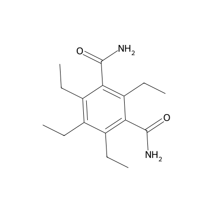 CCc1c(CC)c(C(N)=O)c(CC)c(C(N)=O)c1CC